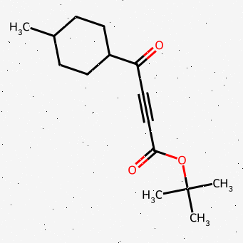 CC1CCC(C(=O)C#CC(=O)OC(C)(C)C)CC1